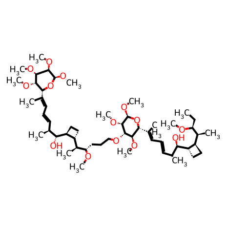 CC[C@H](OC)[C@@H](C)[C@H]1CC[C@@H]1[C@H](O)[C@@H](C)/C=C/C=C(\C)[C@H]1O[C@H](OC)[C@@H](OC)[C@@H](OCCC[C@H](OC)[C@@H](C)[C@H]2CC[C@@H]2[C@H](O)[C@@H](C)/C=C/C=C(\C)[C@H]2O[C@H](OC)[C@H](OC)[C@@H](OC)[C@H]2OC)[C@@H]1OC